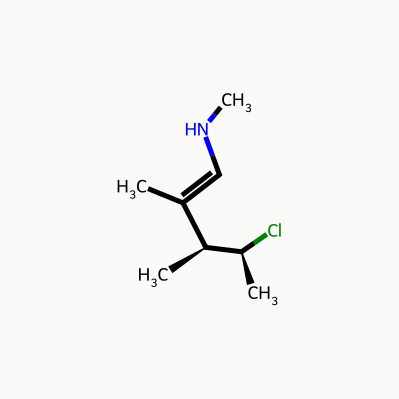 CN/C=C(\C)[C@H](C)[C@H](C)Cl